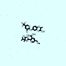 CC(Oc1ccc(Oc2ncc(C(F)(F)F)cc2Cl)cc1)C(=O)O.COCc1cnc(C2=NC(C)(C(C)C)C(=O)N2)c(C(=O)O)c1